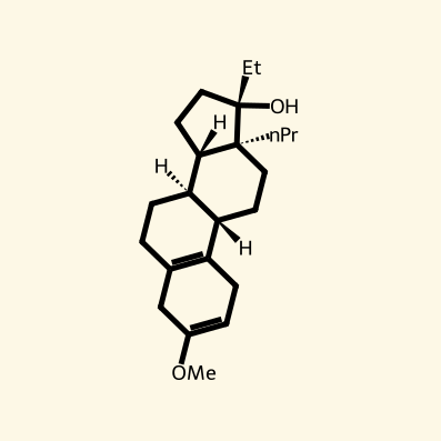 CCC[C@]12CC[C@@H]3C4=C(CC[C@H]3[C@@H]1CC[C@@]2(O)CC)CC(OC)=CC4